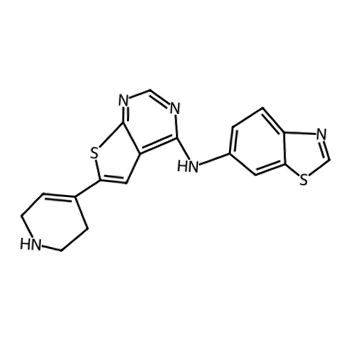 C1=C(c2cc3c(Nc4ccc5ncsc5c4)ncnc3s2)CCNC1